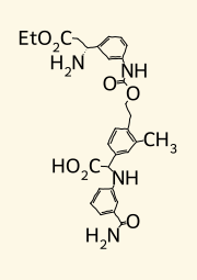 CCOC(=O)C[C@@H](N)c1cccc(NC(=O)OCCc2ccc(C(Nc3cccc(C(N)=O)c3)C(=O)O)cc2C)c1